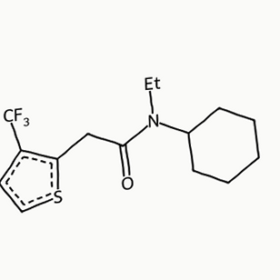 CCN(C(=O)Cc1sccc1C(F)(F)F)C1CCCCC1